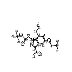 C=CCc1cc(OCC(C)C)cc2c(C(C)=O)nn(CC(=O)OC(C)(C)C)c12